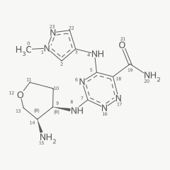 Cn1cc(Nc2nc(N[C@@H]3CCOC[C@@H]3N)nnc2C(N)=O)cn1